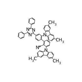 Cc1ccc2c(c1)c1cc(C)ccc1n2-c1cc(-c2nc(-c3ccccc3)nc(-c3ccccc3)n2)ccc1-c1cccc(-n2c3ccc(C)cc3c3cc(C)ccc32)c1C#N